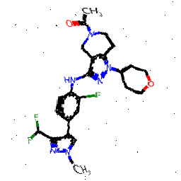 CC(=O)N1CCc2c(c(Nc3ccc(-c4cn(C)nc4C(F)F)cc3F)nn2C2CCOCC2)C1